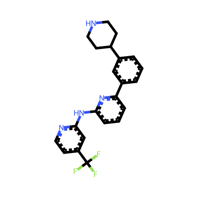 FC(F)(F)c1ccnc(Nc2cccc(-c3cccc(C4CCNCC4)c3)n2)c1